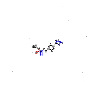 Cn1cnc(-c2ccc(CCNC(=O)OC(C)(C)C)cc2)n1